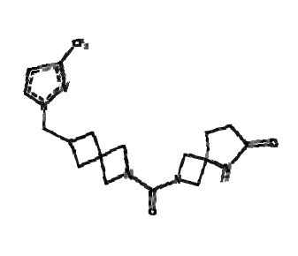 O=C1CCC2(CN(C(=O)N3CC4(CC(Cn5ccc(C(F)(F)F)n5)C4)C3)C2)N1